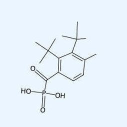 Cc1ccc(C(=O)P(=O)(O)O)c(C(C)(C)C)c1C(C)(C)C